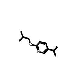 CC(C)COc1ccc(C(C)C)cn1